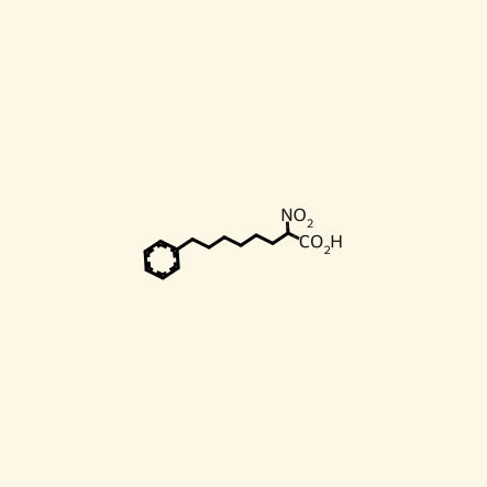 O=C(O)C(CCCCCCc1ccccc1)[N+](=O)[O-]